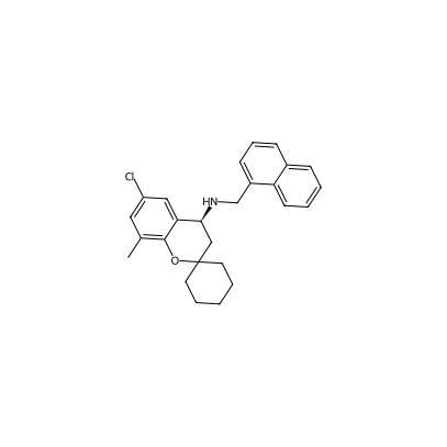 Cc1cc(Cl)cc2c1OC1(CCCCC1)C[C@@H]2NCc1cccc2ccccc12